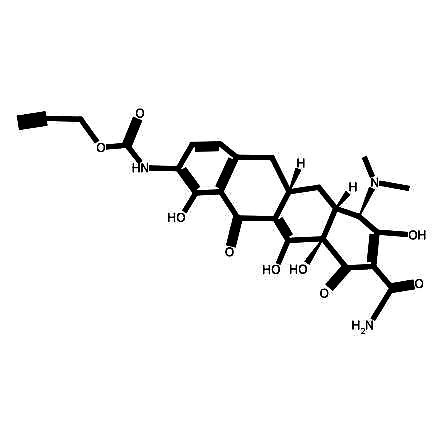 C#CCOC(=O)Nc1ccc2c(c1O)C(=O)C1=C(O)[C@@]3(O)C(=O)C(C(N)=O)=C(O)[C@H](N(C)C)[C@H]3C[C@H]1C2